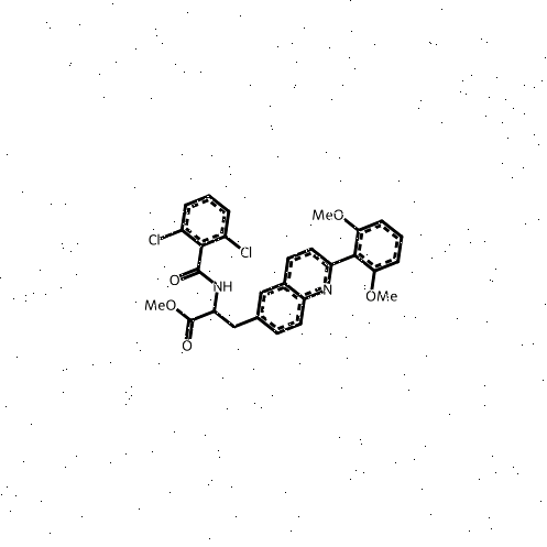 COC(=O)C(Cc1ccc2nc(-c3c(OC)cccc3OC)ccc2c1)NC(=O)c1c(Cl)cccc1Cl